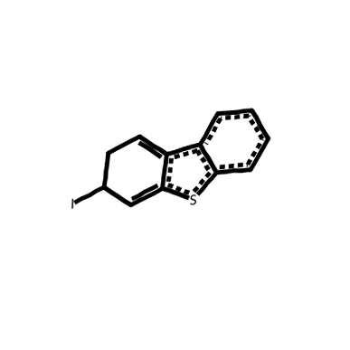 IC1C=c2sc3ccccc3c2=CC1